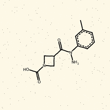 Cc1cccc(N(N)C(=O)C2CN(C(=O)O)C2)c1